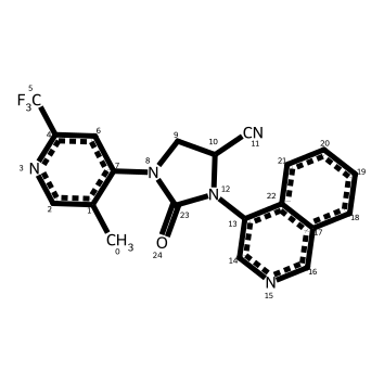 Cc1cnc(C(F)(F)F)cc1N1CC(C#N)N(c2cncc3ccccc23)C1=O